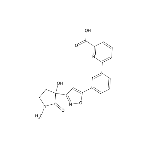 CN1CCC(O)(c2cc(-c3cccc(-c4cccc(C(=O)O)n4)c3)on2)C1=O